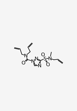 C=CCN(CC=C)C(=O)n1cnc(S(=O)(=O)N(C)CC=C)n1